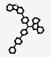 c1ccc(-c2ccc(-c3ccc(C(c4ccc(-c5ccc6oc7ccccc7c6c5)cc4)c4cc5ccccc5c5ccccc45)cc3)cc2)cc1